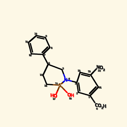 O=C(O)c1cc(N2CC(c3ccccc3)CCS2(O)O)cc([N+](=O)[O-])c1